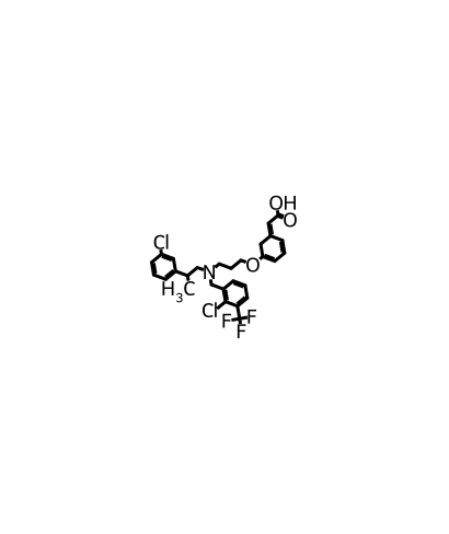 CC(CN(CCCOC1=CC=CC(=CC(=O)O)C1)Cc1cccc(C(F)(F)F)c1Cl)c1cccc(Cl)c1